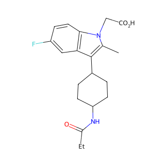 CCC(=O)NC1CCC(c2c(C)n(CC(=O)O)c3ccc(F)cc23)CC1